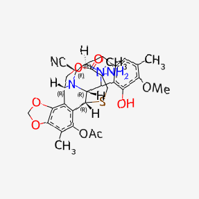 COc1c(C)cc2c(c1O)C1[C@@H]3[C@@H]4SCC(N)C(=O)OC[C@@H](c5c6c(c(C)c(OC(C)=O)c54)OCO6)N3[C@@H](C#N)[C@@H](C2)N1C